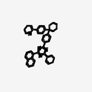 C1=CC(c2nc(-c3ccc(C4(c5ccc(C6=CCCC=N6)cc5)CCCCC4)cc3)nc(-c3cccc4ccccc34)n2)=CCC1